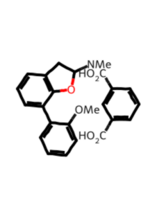 CNC1Cc2cccc(-c3ccccc3OC)c2O1.O=C(O)c1cccc(C(=O)O)c1